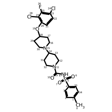 Cc1ccc(S(=O)(=O)NC(=O)N2CCC(N3CCC(Oc4ccc(Cl)c(F)c4Cl)CC3)CC2)cc1